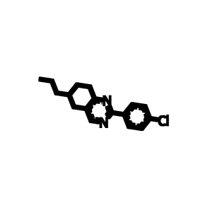 CCCC1CCc2nc(-c3ccc(Cl)cc3)ncc2C1